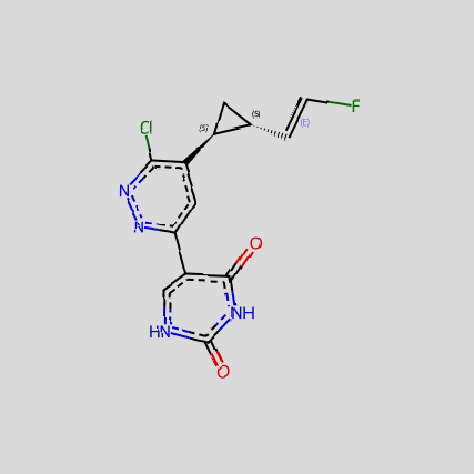 O=c1[nH]cc(-c2cc([C@H]3C[C@@H]3/C=C/F)c(Cl)nn2)c(=O)[nH]1